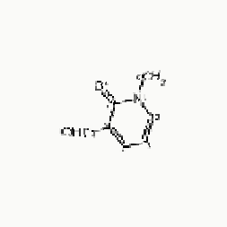 Cn1cccc([C]=O)c1=O